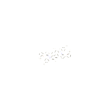 Cc1cc(C(C)C)ccc1N(c1cc(C(C)C)c2ccc3c(N(c4ccc(C(C)C)cc4C)c4cccc5c4oc4c(C(C)(C)C)cccc45)cc(C(C)C)c4ccc1c2c43)c1cccc2c1oc1c(C(C)(C)C)cccc12